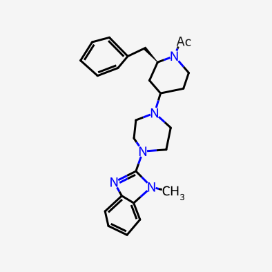 CC(=O)N1CCC(N2CCN(c3nc4ccccc4n3C)CC2)C[C@H]1Cc1ccccc1